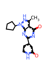 Cc1[nH]n(C2CCCC2)c2nc(-c3cc[nH]c(=O)c3)nc(=O)c1-2